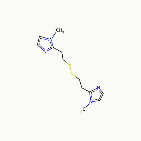 Cn1ccnc1CCSSCCc1nccn1C